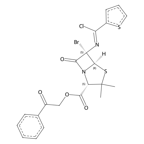 CC1(C)S[C@H]2N(C(=O)[C@@]2(Br)N=C(Cl)c2cccs2)[C@H]1C(=O)OCC(=O)c1ccccc1